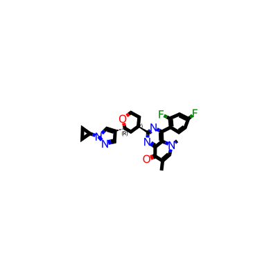 Cc1cn(C)c2c(-c3ccc(F)cc3F)nc([C@@H]3CCO[C@@H](c4cnn(C5CC5)c4)C3)nc2c1=O